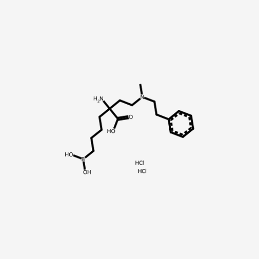 CN(CCc1ccccc1)CCC(N)(CCCCB(O)O)C(=O)O.Cl.Cl